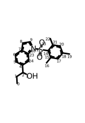 CCC(O)c1ccc2ccn(S(=O)(=O)c3c(C)cc(C)cc3C)c2c1